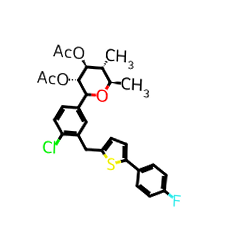 CC(=O)O[C@H]1[C@H](C)[C@@H](C)OC(c2ccc(Cl)c(Cc3ccc(-c4ccc(F)cc4)s3)c2)[C@@H]1OC(C)=O